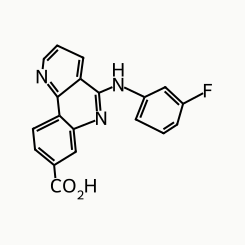 O=C(O)c1ccc2c(c1)nc(Nc1cccc(F)c1)c1cccnc12